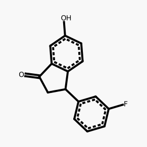 O=C1CC(c2cccc(F)c2)c2ccc(O)cc21